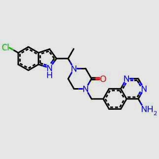 CC(c1cc2cc(Cl)ccc2[nH]1)N1CCN(Cc2ccc3c(N)ncnc3c2)C(=O)C1